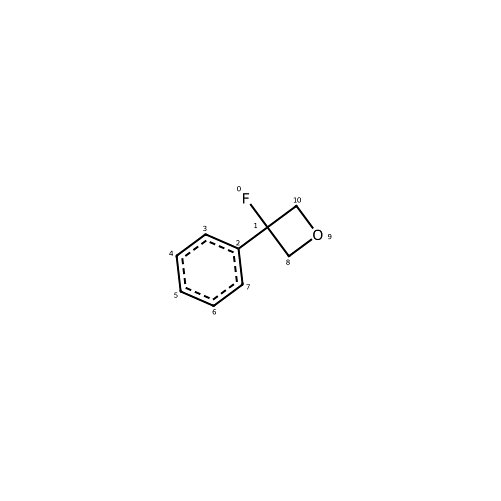 FC1(c2ccccc2)COC1